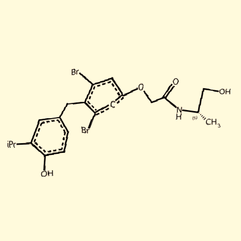 CC(C)c1cc(Cc2c(Br)cc(OCC(=O)N[C@@H](C)CO)cc2Br)ccc1O